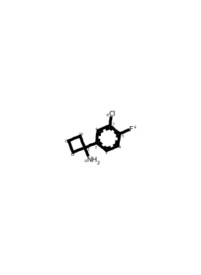 NC1(c2ccc(F)c(Cl)c2)CCC1